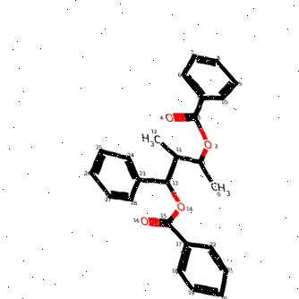 CC(OC(=O)c1ccccc1)C(C)C(OC(=O)c1ccccc1)c1ccccc1